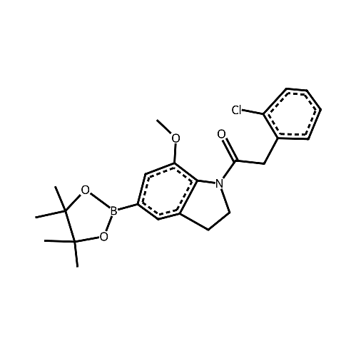 COc1cc(B2OC(C)(C)C(C)(C)O2)cc2c1N(C(=O)Cc1ccccc1Cl)CC2